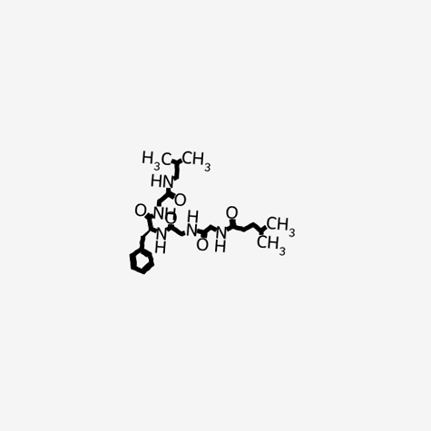 CC(C)CCC(=O)NCC(=O)NCC(=O)N[C@@H](Cc1ccccc1)C(=O)NCC(=O)NCC(C)C